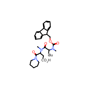 CCC(C)C(C(=O)N(C)C(CC(=O)O)C(=O)N1CCCCC1)N(C)C(=O)OCC1c2ccccc2-c2ccccc21